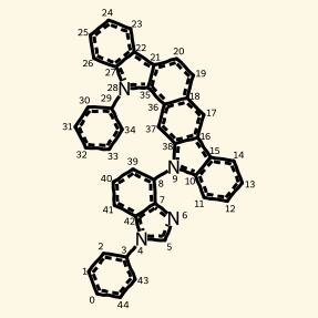 c1ccc(-n2cnc3c(-n4c5ccccc5c5cc6ccc7c8ccccc8n(-c8ccccc8)c7c6cc54)cccc32)cc1